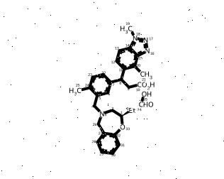 CC[C@@H]1CN(Cc2cc(C(CC(=O)O)c3ccc4c(nnn4C)c3C)ccc2C)Cc2ccccc2O1.O=CO